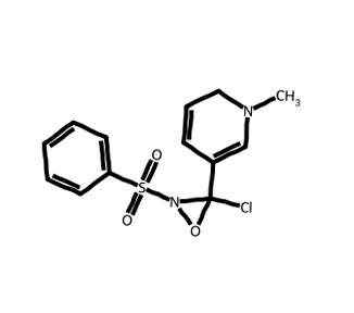 CN1C=C(C2(Cl)ON2S(=O)(=O)c2ccccc2)C=CC1